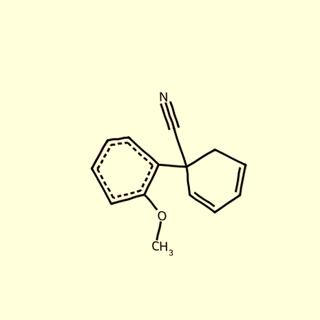 COc1ccccc1C1(C#N)C=CC=CC1